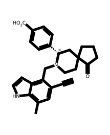 C#Cc1cc(C)c2[nH]ccc2c1CN1CCC2(CCCC2=O)C[C@H]1c1ccc(C(=O)O)cc1